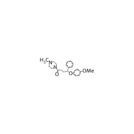 COc1ccc(OC(CCC(=O)N2CCN(C)CC2)c2ccccc2)cc1